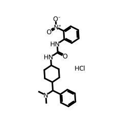 CN(C)C(c1ccccc1)C1CCC(NC(=O)Nc2ccccc2[N+](=O)[O-])CC1.Cl